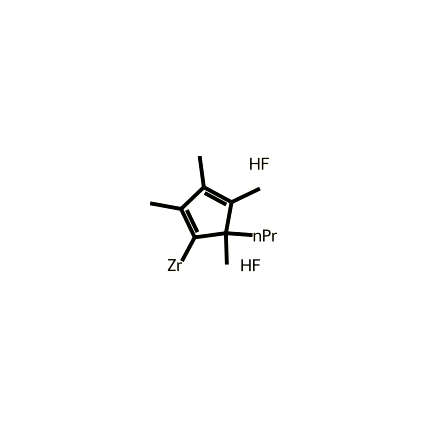 CCCC1(C)C(C)=C(C)C(C)=[C]1[Zr].F.F